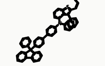 C=C/C=C\c1sc2cccc(N(c3ccccc3)c3ccc(-c4ccc(C5(c6ccccc6)c6ccccc6-c6ccccc65)cc4)cc3)c2c1-c1ccccc1